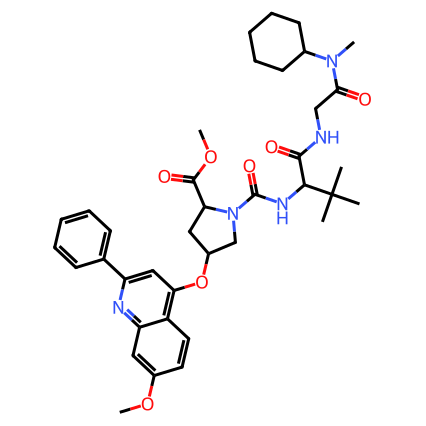 COC(=O)C1CC(Oc2cc(-c3ccccc3)nc3cc(OC)ccc23)CN1C(=O)NC(C(=O)NCC(=O)N(C)C1CCCCC1)C(C)(C)C